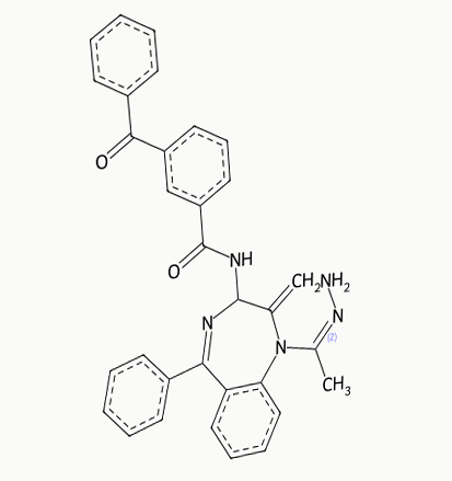 C=C1C(NC(=O)c2cccc(C(=O)c3ccccc3)c2)N=C(c2ccccc2)c2ccccc2N1/C(C)=N\N